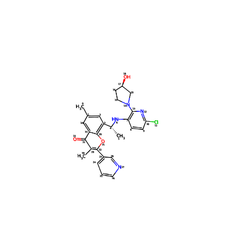 Cc1cc([C@@H](C)Nc2ccc(Cl)nc2N2CC[C@@H](O)C2)c2oc(-c3cccnc3)c(C)c(=O)c2c1